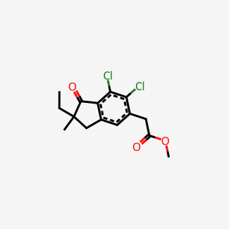 CCC1(C)Cc2cc(CC(=O)OC)c(Cl)c(Cl)c2C1=O